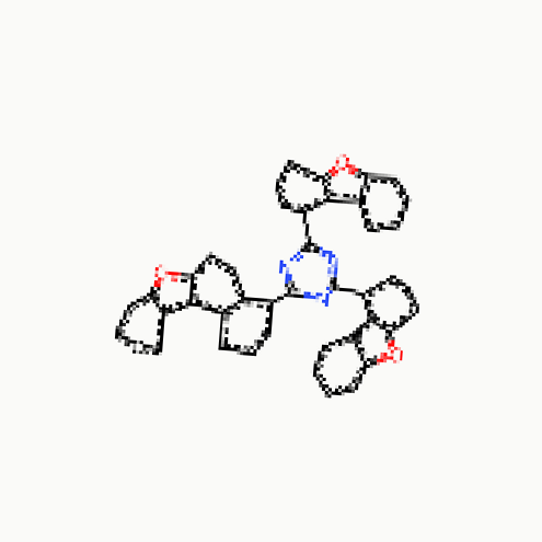 c1ccc2c(c1)oc1cccc(-c3nc(-c4cccc5c4ccc4oc6ccccc6c45)nc(-c4cccc5oc6ccccc6c45)n3)c12